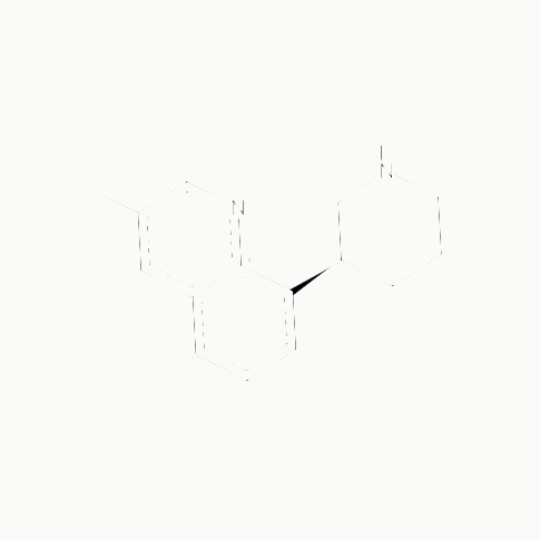 Cc1cnc2c([C@@H]3CCCNC3)cccc2c1